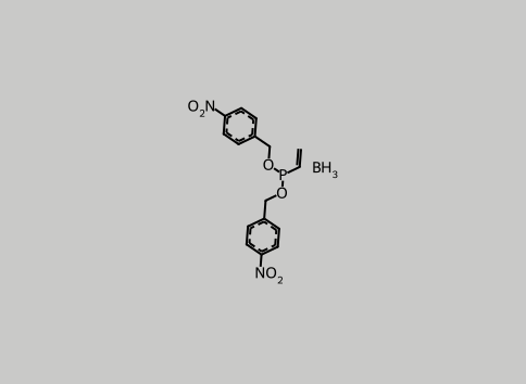 B.C=CP(OCc1ccc([N+](=O)[O-])cc1)OCc1ccc([N+](=O)[O-])cc1